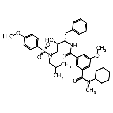 COc1ccc(S(=O)(=O)N(CC(C)C)C[C@@H](O)[C@H](Cc2ccccc2)NC(=O)c2cc(OC)cc(C(=O)N(C)C3CCCCC3)c2)cc1